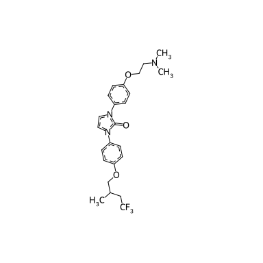 CC(COc1ccc(-n2ccn(-c3ccc(OCCN(C)C)cc3)c2=O)cc1)CC(F)(F)F